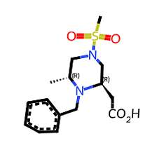 C[C@@H]1CN(S(C)(=O)=O)C[C@@H](CC(=O)O)N1Cc1ccccc1